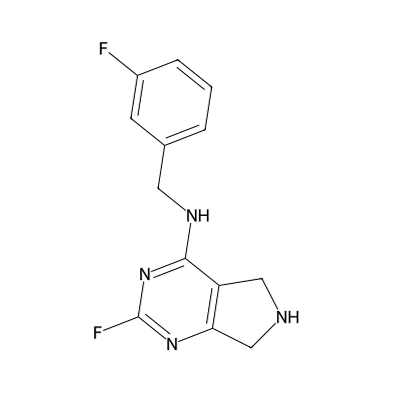 Fc1cccc(CNc2nc(F)nc3c2CNC3)c1